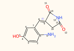 Nc1ccc(O)cc1/C=C1\CC(=O)NC1=O